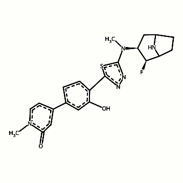 CN(c1nnc(-c2ccc(-c3ccn(C)c(=O)c3)cc2O)s1)[C@H]1CC2CCC(N2)[C@H]1F